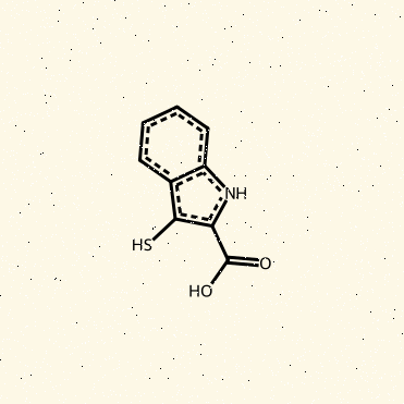 O=C(O)c1[nH]c2ccccc2c1S